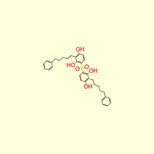 O=S(=O)(c1ccc(O)c(CCCCCc2ccccc2)c1O)c1ccc(O)c(CCCCCc2ccccc2)c1O